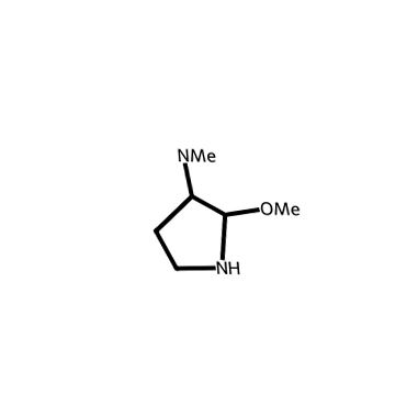 CNC1CCNC1OC